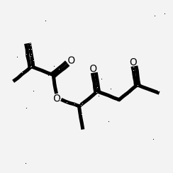 C=C(C)C(=O)OC(C)C(=O)CC(C)=O